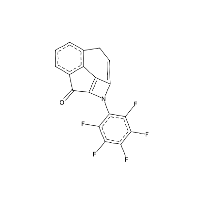 O=C1C2=C3C(=CCc4cccc1c43)N2c1c(F)c(F)c(F)c(F)c1F